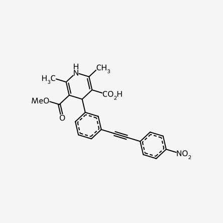 COC(=O)C1=C(C)NC(C)=C(C(=O)O)C1c1cccc(C#Cc2ccc([N+](=O)[O-])cc2)c1